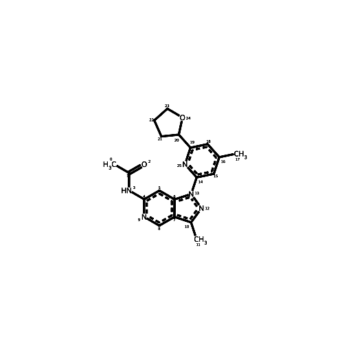 CC(=O)Nc1cc2c(cn1)c(C)nn2-c1cc(C)cc(C2CCCO2)n1